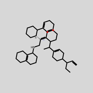 C=CC(CC)C1CC=C(C(C)C2CCCC/C2=C(/CNC2CCCC3=C2CCCC3)[C@@H]2CCCCC2C2=CCCC=C2)CC1